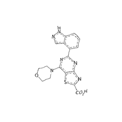 O=C(O)c1nc2nc(-c3cccc4[nH]ncc34)nc(N3CCOCC3)c2s1